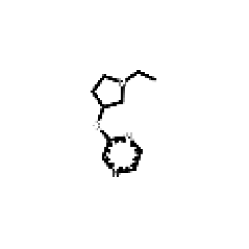 CCN1CCC(Oc2[c]nccn2)C1